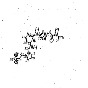 CC(C)NC(=O)Cn1cc(Nc2nccc(NC[C@H]3CCCN3CCS(C)(=O)=O)n2)cn1